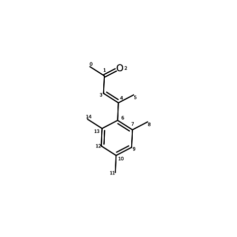 CC(=O)C=C(C)c1c(C)cc(C)cc1C